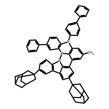 Cc1cc2c3c(c1)N(c1ccc(-c4ccccc4)cc1)c1ccc(-c4ccccc4)cc1B3n1c3ccc(C45CC6CC(CC(C6)C4)C5)cc3c3cc(C45CC6CC(CC(C6)C4)C5)cc-2c31